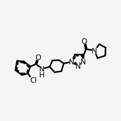 O=C(NC1CCC(n2cc(C(=O)N3CCCC3)nn2)CC1)c1ccccc1Cl